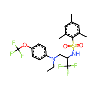 CCN(CC(NS(=O)(=O)c1c(C)cc(C)cc1C)C(F)(F)F)c1ccc(OC(F)(F)F)cc1